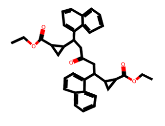 CCOC(=O)C1CC1C(CC(=O)CC(c1cccc2ccccc12)C1CC1C(=O)OCC)c1cccc2ccccc12